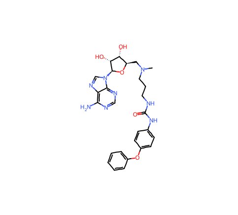 CN(CCCNC(=O)Nc1ccc(Oc2ccccc2)cc1)C[C@H]1O[C@@H](n2cnc3c(N)ncnc32)[C@H](O)[C@@H]1O